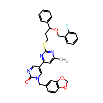 Cc1cc(-c2cnc(=O)n(Cc3ccc4c(c3)OCO4)c2)nc(SCCC(OCc2ccccc2F)c2ccccc2)n1